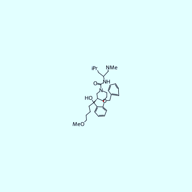 CNCC(CC(C)C)NC(=O)N1CCC[C@@H](C(O)(CCCCOC)c2ccccc2OCc2ccccc2)C1